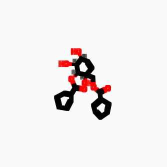 O=C(OC[C@@]1(O)C=C[C@@H](O)[C@H](O)[C@H]1OC(=O)c1ccccc1)c1ccccc1